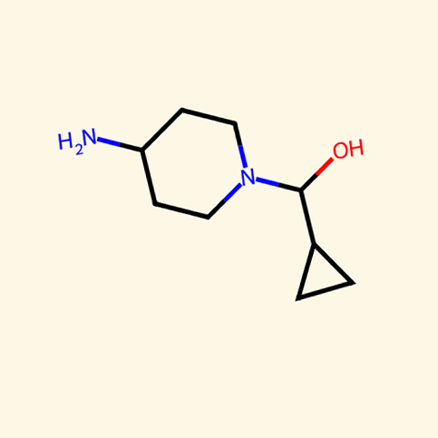 NC1CCN(C(O)C2CC2)CC1